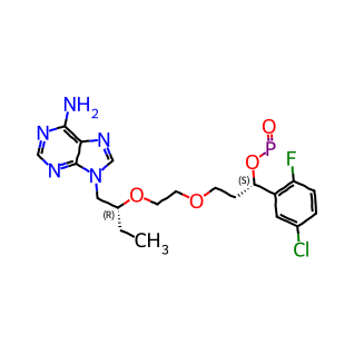 CC[C@H](Cn1cnc2c(N)ncnc21)OCCOCC[C@H](OP=O)c1cc(Cl)ccc1F